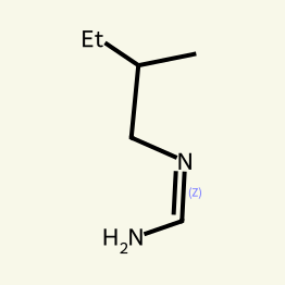 CCC(C)C/N=C\N